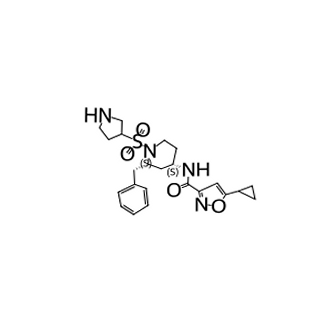 O=C(N[C@H]1CCN(S(=O)(=O)C2CCNC2)[C@@H](Cc2ccccc2)C1)c1cc(C2CC2)on1